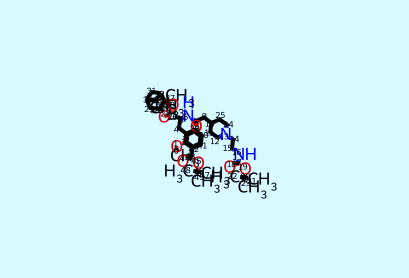 COc1c(CC(NC(=O)CC2CCN(CCNC(=O)OC(C)(C)C)CC2)B2OC3CC4CC(C4(C)C)C3(C)O2)cccc1C(=O)OC(C)(C)C